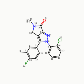 Cc1cc(-c2c3c(nn2-c2ccccc2Cl)C(=O)N(C(C)C)C3)ccc1F